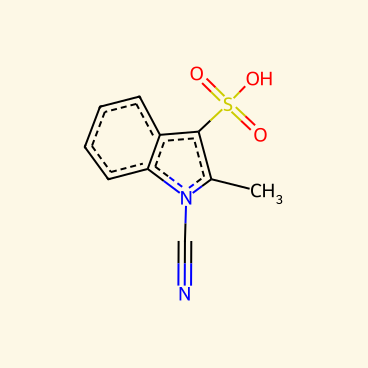 Cc1c(S(=O)(=O)O)c2ccccc2n1C#N